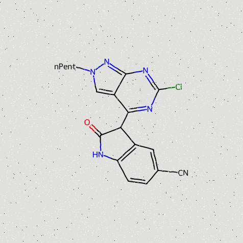 CCCCCn1cc2c(C3C(=O)Nc4ccc(C#N)cc43)nc(Cl)nc2n1